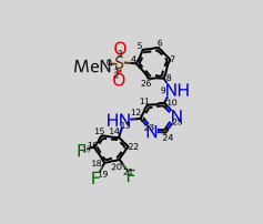 CNS(=O)(=O)c1cccc(Nc2cc(Nc3cc(F)c(F)c(F)c3)ncn2)c1